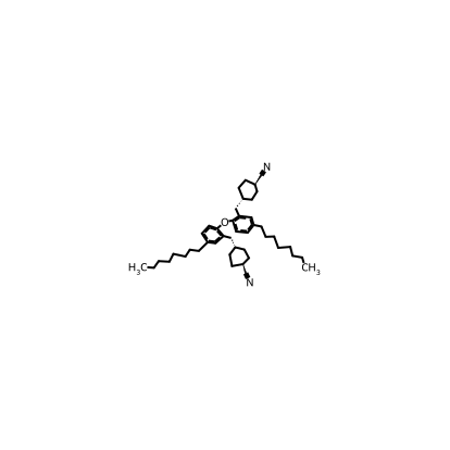 CCCCCCCCc1ccc(Oc2ccc(CCCCCCCC)cc2C[C@H]2CC[C@H](C#N)CC2)c(C[C@H]2CC[C@H](C#N)CC2)c1